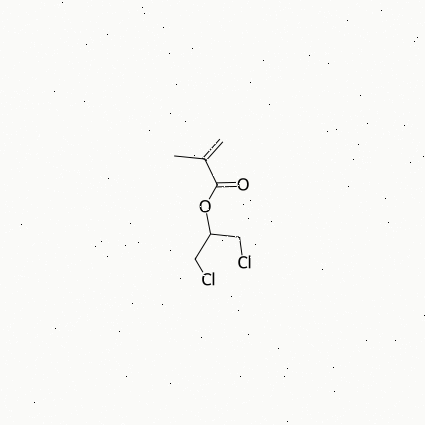 C=C(C)C(=O)OC(CCl)CCl